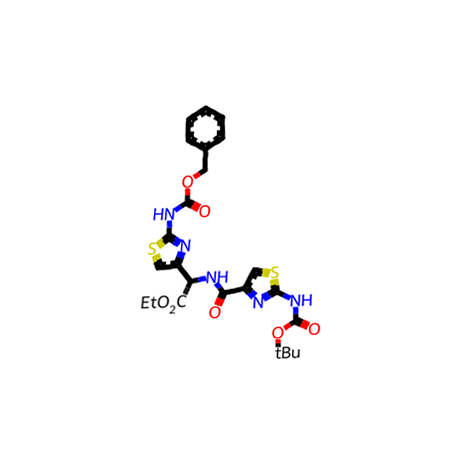 CCOC(=O)C(NC(=O)c1csc(NC(=O)OC(C)(C)C)n1)c1csc(NC(=O)OCc2ccccc2)n1